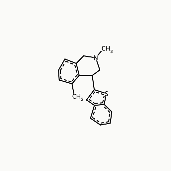 Cc1cccc2c1C(c1cc3ccccc3s1)CN(C)C2